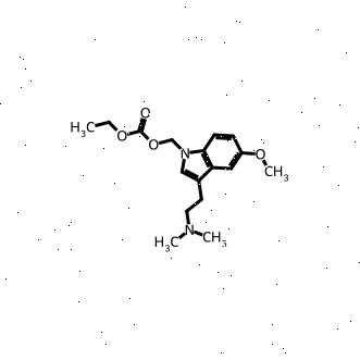 CCOC(=O)OCn1cc(CCN(C)C)c2cc(OC)ccc21